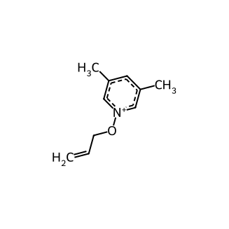 C=CCO[n+]1cc(C)cc(C)c1